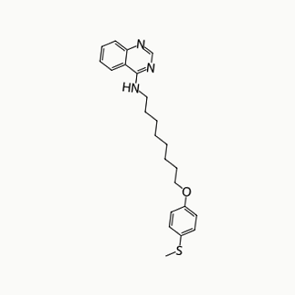 CSc1ccc(OCCCCCCCCNc2ncnc3ccccc23)cc1